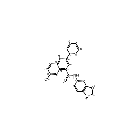 O=C(Nc1ccc2c(c1)OCO2)c1cc(-c2cccnc2)nc2ccc(Cl)cc12